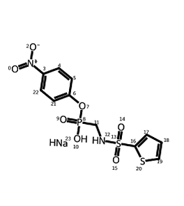 O=[N+]([O-])c1ccc(OP(=O)(O)CNS(=O)(=O)c2cccs2)cc1.[NaH]